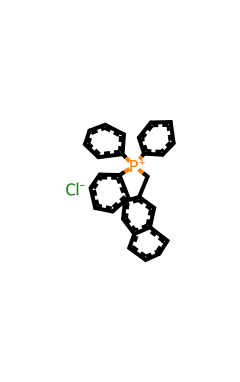 [Cl-].c1ccc([P+](Cc2ccc3ccccc3c2)(c2ccccc2)c2ccccc2)cc1